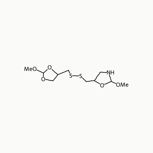 COC1NCC(CSSCC2COC(OC)O2)O1